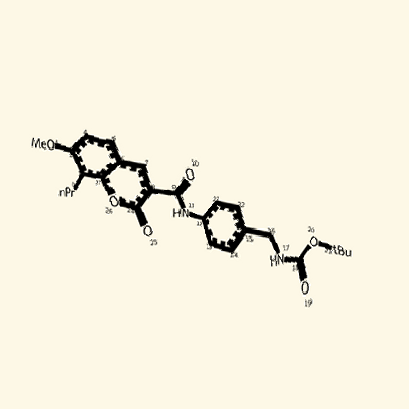 CCCc1c(OC)ccc2cc(C(=O)Nc3ccc(CNC(=O)OC(C)(C)C)cc3)c(=O)oc12